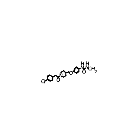 CNC(=O)Nc1ccc(OCC2CCN(C(=O)Cc3ccc(Cl)cc3)CC2)cc1